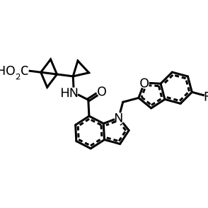 O=C(NC1(C23CC2(C(=O)O)C3)CC1)c1cccc2ccn(Cc3cc4cc(F)ccc4o3)c12